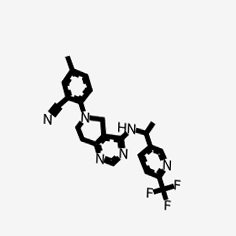 Cc1ccc(N2CCc3ncnc(NC(C)c4ccc(C(F)(F)F)nc4)c3C2)c(C#N)c1